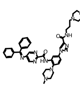 CN1CCN(c2ccc(-n3cc(C(=O)NCCCN4CCOCC4)nn3)cc2NC(=O)c2ncc(N=C(c3ccccc3)c3ccccc3)cn2)CC1